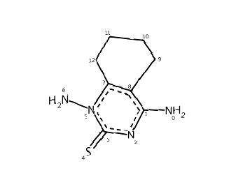 Nc1nc(=S)n(N)c2c1CCCC2